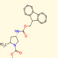 CC(C)(C)OC(=O)N1C[C@@H](NC(=O)OCC2c3ccccc3-c3ccccc32)CC1C(=O)O